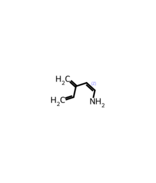 C=CC(=C)/C=C\N